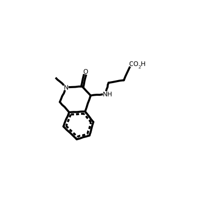 CN1Cc2ccccc2C(NCCC(=O)O)C1=O